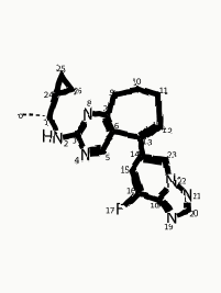 C[C@@H](Nc1ncc2c(n1)CCCC=C2c1cc(F)c2ncnn2c1)C1CC1